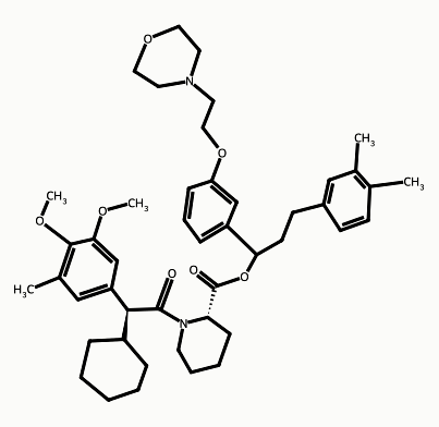 COc1cc([C@@H](C(=O)N2CCCC[C@H]2C(=O)OC(CCc2ccc(C)c(C)c2)c2cccc(OCCN3CCOCC3)c2)C2CCCCC2)cc(C)c1OC